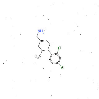 NCC1=CCC(c2ccc(Cl)cc2Cl)C([N+](=O)[O-])C1